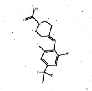 O=C(O)N1CCC(=Cc2c(F)cc(C(F)(F)F)cc2F)CC1